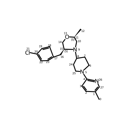 Cc1ccc(N2CCC(N3C[C@H](C)OC[C@@H]3Cc3ccc(Cl)cc3)CC2)nc1